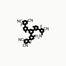 Cc1ccc(-c2cc(C#N)cc(C#N)c2F)cc1-c1cc(-c2cc(-c3cc(C#N)cc(C#N)c3F)ccc2C)cc(-c2cc(-c3cc(CN)cc(C#N)c3F)ccc2C)c1